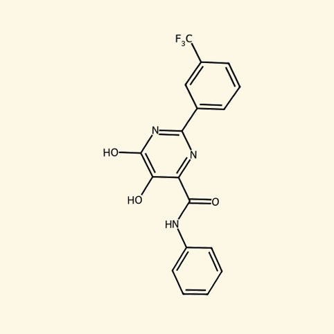 O=C(Nc1ccccc1)c1nc(-c2cccc(C(F)(F)F)c2)nc(O)c1O